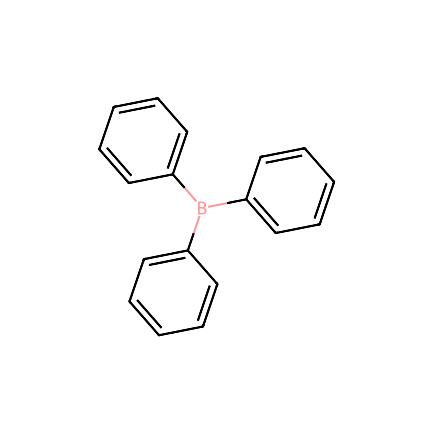 c1ccc(B(c2ccccc2)c2ccccc2)cc1